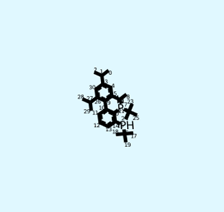 CC(C)c1cc(C(C)C)c(-c2cccc(PC(C)(C)C)c2PC(C)(C)C)c(C(C)C)c1